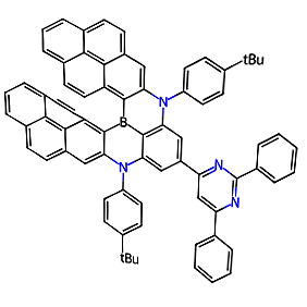 CC(C)(C)c1ccc(N2c3cc(-c4cc(-c5ccccc5)nc(-c5ccccc5)n4)cc4c3B(c3c2cc2ccc5cccc6ccc3c2c56)c2c(cc3ccc5cccc6ccc2c3c56)N4c2ccc(C(C)(C)C)cc2)cc1